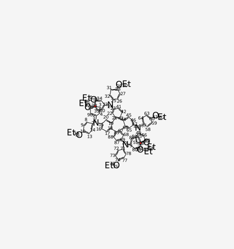 CCOc1ccc(N(c2ccc(OCC)cc2)c2ccc3c(c2)-c2cc(N(c4ccc(OCC)cc4)c4ccc(OCC)cc4)ccc2-c2ccc(N(c4ccc(OCC)cc4)c4ccc(OCC)cc4)cc2-c2cc(N(c4ccc(OCC)cc4)c4ccc(OCC)cc4)ccc2-3)cc1